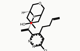 C=CCCc1cc(Cl)nnc1C(=C)[C@H]1CC2COC[C@H](C1)N2B(C)O